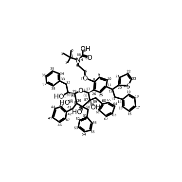 CC(C)(C)N(CCOc1ccc(C(Cc2ccccc2)c2cccs2)cc1[C@@H]1O[C@H](C(O)Cc2ccccc2)[C@](O)(Cc2ccccc2)[C@@](O)(Cc2ccccc2)[C@]1(O)Cc1ccccc1)C(=O)O